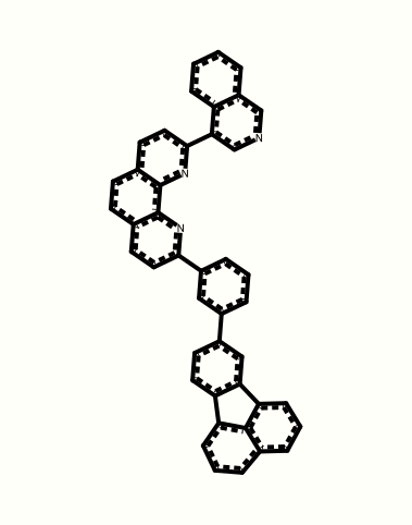 c1cc(-c2ccc3c(c2)-c2cccc4cccc-3c24)cc(-c2ccc3ccc4ccc(-c5cncc6ccccc56)nc4c3n2)c1